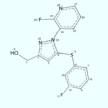 OCc1cc(Sc2cccc(F)c2)n(-c2cccnc2F)n1